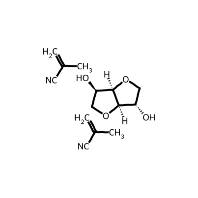 C=C(C)C#N.C=C(C)C#N.O[C@@H]1CO[C@H]2[C@@H]1OC[C@@H]2O